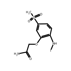 CS(=O)(=O)c1ccc(NI)c(OCC(N)=O)c1